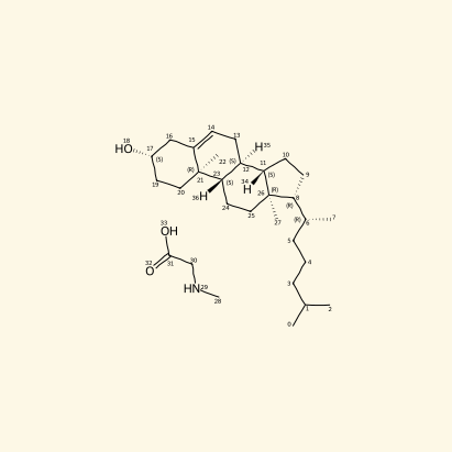 CC(C)CCC[C@@H](C)[C@H]1CC[C@H]2[C@@H]3CC=C4C[C@@H](O)CC[C@]4(C)[C@H]3CC[C@]12C.CNCC(=O)O